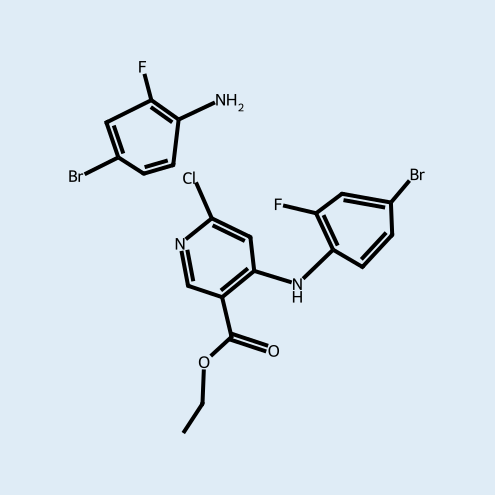 CCOC(=O)c1cnc(Cl)cc1Nc1ccc(Br)cc1F.Nc1ccc(Br)cc1F